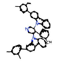 Cc1ccc(-c2ccc3c4ccccc4n(-c4cncc(-n5c6ccccc6c6ccc(-c7ccc(C)cc7C)cc65)c4-c4cccc(C#N)c4)c3c2)c(C)c1